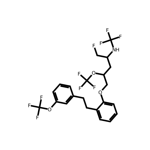 FCC(CC(COc1ccccc1CCc1cccc(OC(F)(F)F)c1)OC(F)(F)F)NC(F)(F)F